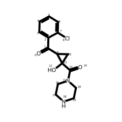 O=C(c1ccccc1Cl)C1CC1(O)C(=O)N1CCNCC1